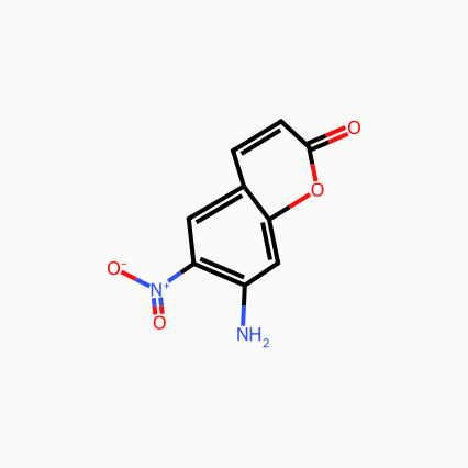 Nc1cc2oc(=O)ccc2cc1[N+](=O)[O-]